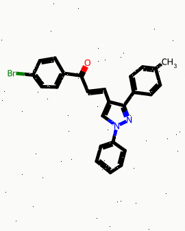 Cc1ccc(-c2nn(-c3ccccc3)cc2/C=C/C(=O)c2ccc(Br)cc2)cc1